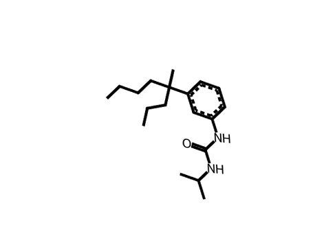 CCCCC(C)(CCC)c1cccc(NC(=O)NC(C)C)c1